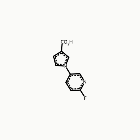 O=C(O)c1ccn(-c2ccc(F)nc2)c1